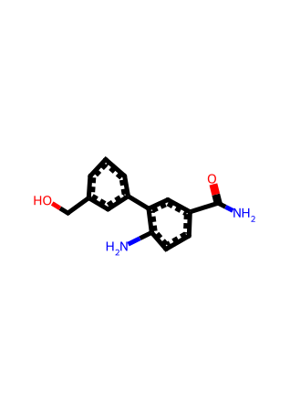 NC(=O)c1ccc(N)c(-c2cccc(CO)c2)c1